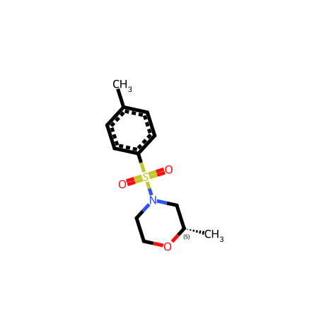 Cc1ccc(S(=O)(=O)N2CCO[C@@H](C)C2)cc1